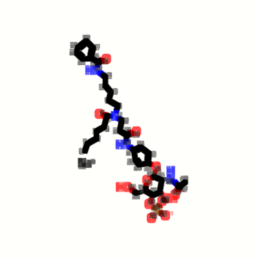 CCCCCC(=O)N(CCCCCNC(=O)c1ccccc1)CCC(=O)Nc1ccc(O[C@@H]2O[C@H](CO)[C@H](OS(=O)(=O)[O-])[C@H](O)[C@H]2NC(C)=O)cc1.[Na+]